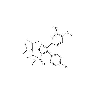 COC(=O)c1c(-c2ccc([O])cc2)c(-c2ccc(OC)c(OC)c2)cn1[Si](C(C)C)(C(C)C)C(C)C